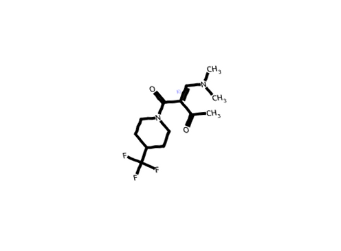 CC(=O)/C(=C\N(C)C)C(=O)N1CCC(C(F)(F)F)CC1